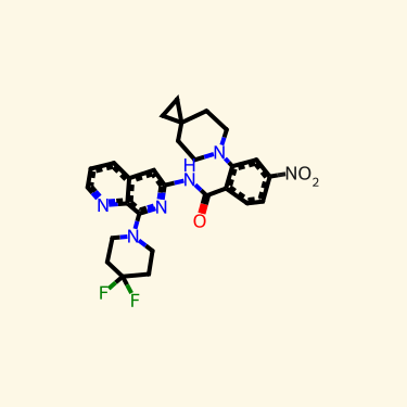 O=C(Nc1cc2cccnc2c(N2CCC(F)(F)CC2)n1)c1ccc([N+](=O)[O-])cc1N1CCC2(CC1)CC2